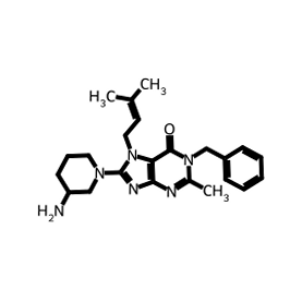 CC(C)=CCn1c(N2CCCC(N)C2)nc2nc(C)n(Cc3ccccc3)c(=O)c21